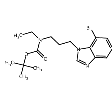 CCN(CCCn1cnc2cccc(Br)c21)C(=O)OC(C)(C)C